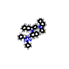 c1ccc(-c2nc(-c3ccccc3)nc(-c3cc(-n4c5cc(-n6c7ccccc7c7ccc8ccccc8c76)ccc5c5cc6ccccc6cc54)c4ccccc4c3)n2)cc1